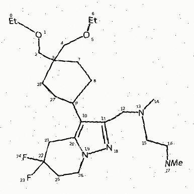 CCOCC1(COCC)CCC(c2c(CN(C)CCNC)nn3c2CC(F)(F)CC3)CC1